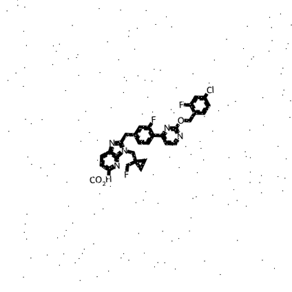 O=C(O)c1ccc2nc(Cc3ccc(-c4ccnc(OCc5ccc(Cl)cc5F)n4)c(F)c3)n(CC3(CF)CC3)c2n1